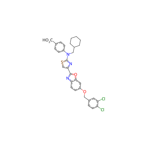 O=C(O)c1ccc(N(CC2CCCCC2)c2nc(-c3nc4ccc(OCc5ccc(Cl)c(Cl)c5)cc4o3)cs2)cc1